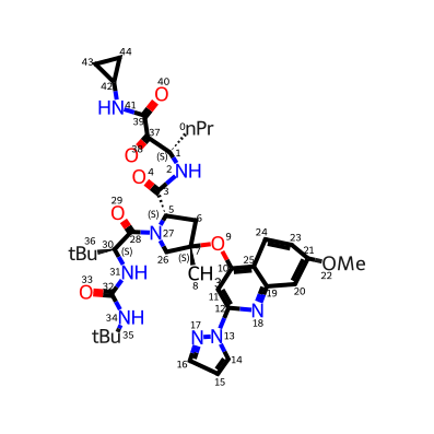 CCC[C@H](NC(=O)[C@@H]1C[C@](C)(Oc2cc(-n3cccn3)nc3cc(OC)ccc23)CN1C(=O)[C@@H](NC(=O)NC(C)(C)C)C(C)(C)C)C(=O)C(=O)NC1CC1